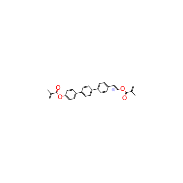 C=C(C)C(=O)O/C=C/c1ccc(-c2ccc(-c3ccc(OC(=O)C(=C)C)cc3)cc2)cc1